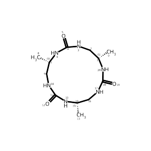 C[C@H]1CNC(=O)N[C@@H](C)CNC(=O)N[C@@H](C)CNC(=O)N1